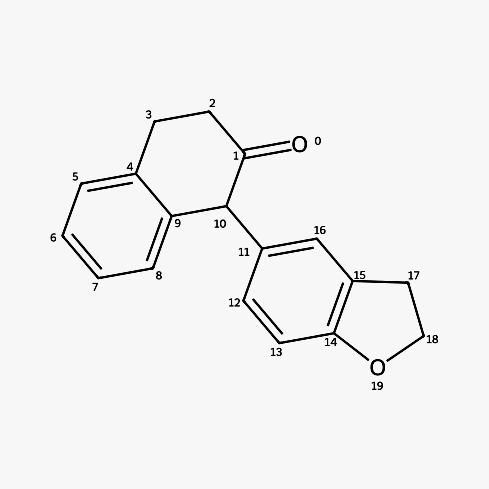 O=C1CCc2ccccc2C1c1ccc2c(c1)CCO2